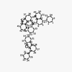 c1ccc(-c2ccc(N(c3ccc(-c4ccc5oc6c(-c7ccccc7)cccc6c5c4)cc3)c3cccc4sc5ccccc5c34)c3ccccc23)cc1